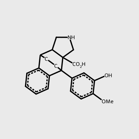 COc1ccc(C23CCC(c4ccccc42)C2CNCC23C(=O)O)cc1O